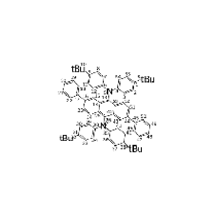 CC(C)(C)c1ccc(N(c2ccc(C(C)(C)C)cc2)c2c3cc(-c4ccccc4)ccc3c(N(c3ccc(C(C)(C)C)cc3)C3C=CC(C(C)(C)C)CC3)c3cc(-c4ccccc4)ccc23)cc1